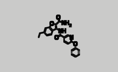 CCc1ccc2c(NC(=O)c3ccc(Oc4ccccc4)nc3)c(C(N)=O)oc2c1